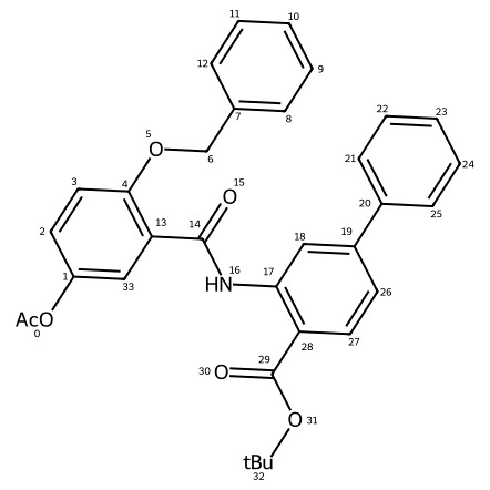 CC(=O)Oc1ccc(OCc2ccccc2)c(C(=O)Nc2cc(-c3ccccc3)ccc2C(=O)OC(C)(C)C)c1